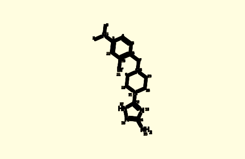 CN(C)c1ccc(CN2CCN(c3nc(N)n[nH]3)CC2)c(Br)c1